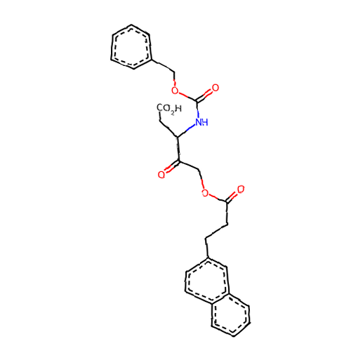 O=C(O)CC(NC(=O)OCc1ccccc1)C(=O)COC(=O)CCc1ccc2ccccc2c1